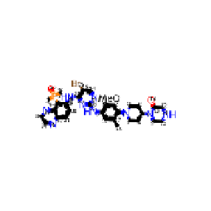 COc1cc(N2CCC(N3CCNCC3=O)CC2)c(C)cc1Nc1ncc(Br)c(Nc2ccc3nccnc3c2P(C)(C)=O)n1